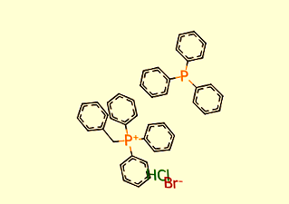 Cl.[Br-].c1ccc(C[P+](c2ccccc2)(c2ccccc2)c2ccccc2)cc1.c1ccc(P(c2ccccc2)c2ccccc2)cc1